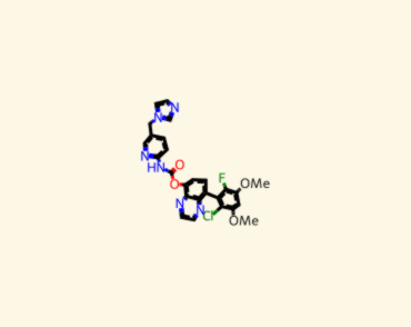 COc1cc(OC)c(Cl)c(-c2ccc(OC(=O)Nc3ccc(Cn4ccnc4)cn3)c3nccnc23)c1F